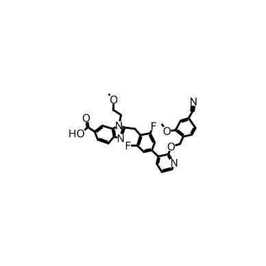 COCCn1c(Cc2c(F)cc(-c3cccnc3OCc3ccc(C#N)cc3OC)cc2F)nc2ccc(C(=O)O)cc21